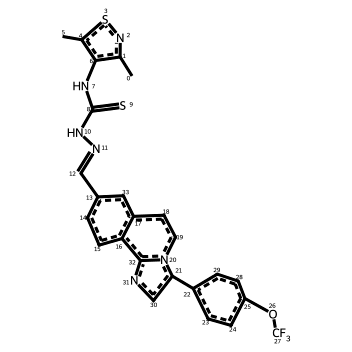 Cc1nsc(C)c1NC(=S)NN=Cc1ccc2c(ccn3c(-c4ccc(OC(F)(F)F)cc4)cnc23)c1